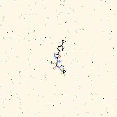 CC[C@@H](Nc1nnc(-c2ccc(C3CC3)cc2)o1)C(=O)N1CC[C@]2(C1)CC2(F)F